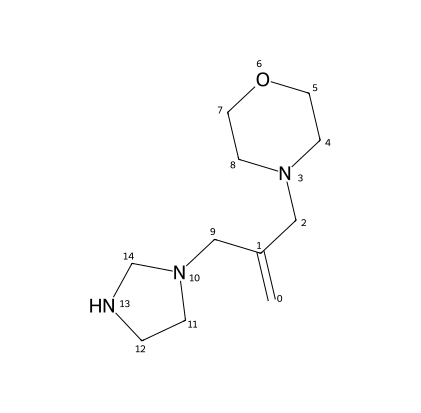 C=C(CN1CCOCC1)CN1CCNC1